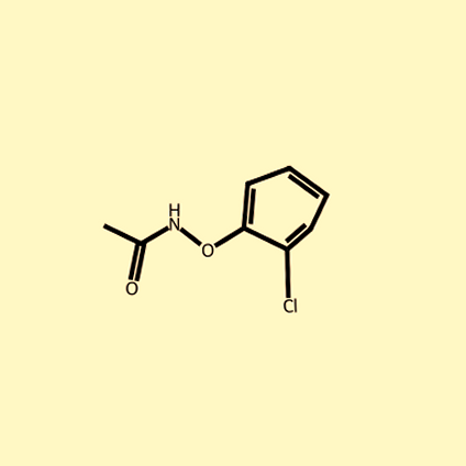 CC(=O)NOc1ccccc1Cl